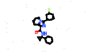 O=C(NC1(c2ccccc2)CC1)c1nc(-c2cccc(F)c2)n2ccccc12